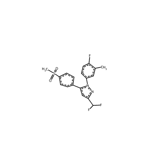 Cc1cc(-n2nc(C(F)F)cc2-c2ccc(S(C)(=O)=O)cc2)ccc1F